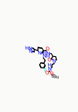 CC(C)(C)OC(=O)NCCCN1CCC(CNC(=O)c2ccc(-c3cn[nH]c3)nc2NCCc2cccc(F)c2)C1=O